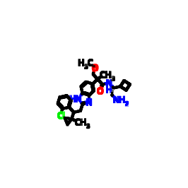 COCC(C)(C(=O)N[C@@H](CN)C1CCC1)c1ccc2[nH]c(CC(c3ccccc3Cl)C3(C)CC3)nc2c1